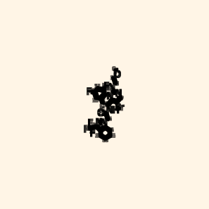 COCCNc1ncc(Br)c([C@@H](Cc2cc(F)cc(F)c2)NC(=O)Cn2nc(C(F)(F)F)c3c2CCCC3)n1